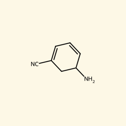 N#CC1=CC=CC(N)C1